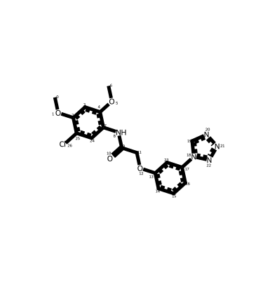 COc1cc(OC)c(NC(=O)COc2cccc(-n3cnnn3)c2)cc1Cl